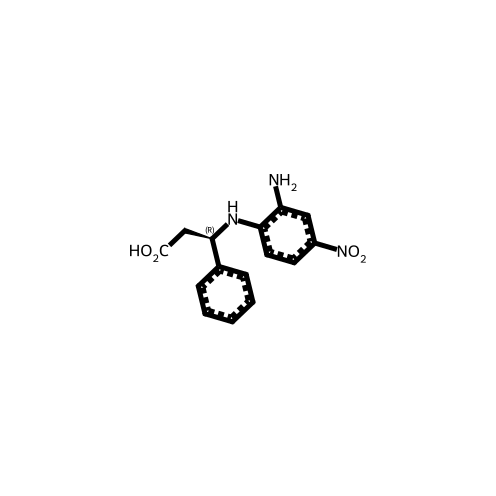 Nc1cc([N+](=O)[O-])ccc1N[C@H](CC(=O)O)c1ccccc1